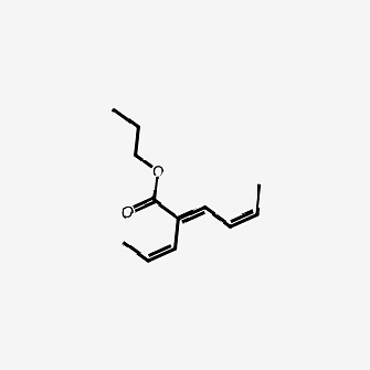 C\C=C/C=C(\C=C/C)C(=O)OCCC